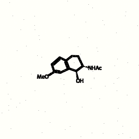 COc1ccc2c(c1)[C@H](O)[C@@H](NC(C)=O)CC2